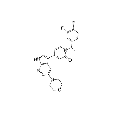 CC(c1ccc(F)c(F)c1)n1ccc(-c2c[nH]c3ncc(N4CCOCC4)cc23)cc1=O